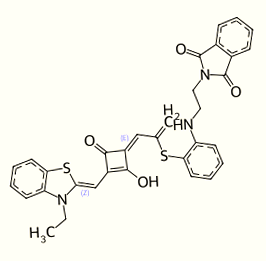 C=C(/C=C1/C(=O)C(/C=C2\Sc3ccccc3N2CC)=C1O)Sc1ccccc1NCCN1C(=O)c2ccccc2C1=O